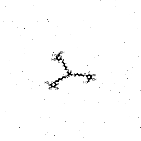 C[C@H]1C(O)[C@@H](O)C(CO)O[C@H]1OCCCCCOCC(C)(COCCCCCC[C@@H]1OC(CO)[C@H](O)C(O)[C@@H]1C)COCCCCCO[C@@H]1OC(CO)[C@H](O)C(O)[C@@H]1C